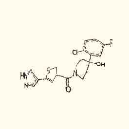 O=C(C1C=C(c2cn[nH]c2)SC1)N1CCC(O)(c2cc(F)ccc2Cl)CC1